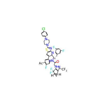 CC(=O)c1cc(-c2cc3sc(N4CCN(c5ccc(Cl)cc5)CC4)nc3nc2[C@H](Cc2cc(F)cc(F)c2)NC(=O)Cn2nc(C(F)(F)F)c3c2C(F)(F)[C@@H]2C[C@H]32)ccc1F